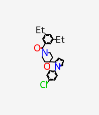 CCc1cc(CC)cc(C(=O)N2CCC3(CC2)Oc2cc(Cl)ccc2-n2cccc23)c1